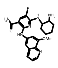 COc1cc(Nc2nc(NC3CCCCC3N)c(F)cc2C(N)=O)cc2cccnc12